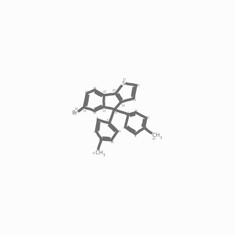 Cc1ccc(C2(c3ccc(C)cc3)c3cc(Br)ccc3-c3sccc32)cc1